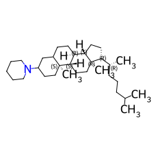 CC(C)CCC[C@@H](C)[C@H]1CC[C@H]2[C@@H]3CCC4CC(N5CCCCC5)CC[C@]4(C)[C@H]3CC[C@]12C